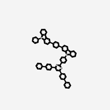 c1ccc(-c2ccc(-c3cc(-c4ccc(-c5ccccc5)cc4)nc(-c4ccc(-n5c6ccccc6c6ccc(-c7ccc(-c8ccc9c(c8)c8ccccc8n9-c8ccccc8)cc7)cc65)cc4)n3)cc2)cc1